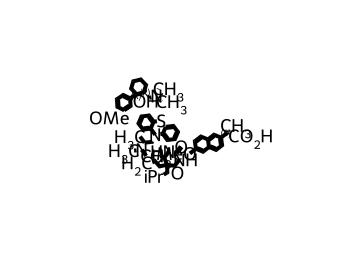 C=CCC1(CC(C)C)C(=O)NC(=O)NC1=O.CC(CN1c2ccccc2Sc2ccccc21)N(C)C.COc1ccc2cc([C@H](C)C(=O)O)ccc2c1.COc1cccc([C@@]2(O)CCCC[C@@H]2CN(C)C)c1